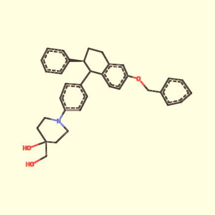 OCC1(O)CCN(c2ccc(C3c4ccc(OCc5ccccc5)cc4CC[C@@H]3c3ccccc3)cc2)CC1